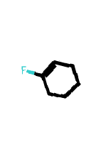 FC1=CCCCC1